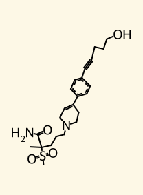 CC(CCCN1CC=C(c2ccc(C#CCCCO)cc2)CC1)(C(N)=O)S(C)(=O)=O